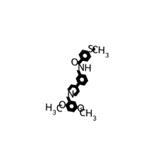 COc1ccc(OC)c(CN2CCC(c3cccc(CNC(=O)c4ccc(SC)cc4)c3)CC2)c1